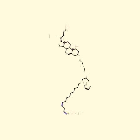 CCCCC/C=C\C/C=C\CCCCCCCCOCC(CN1CC=CC1)OCCOCCO[C@H]1CC[C@@]2(C)C(=CCC3C2CC[C@@]2(C)C3CC[C@@H]2[C@H](C)CCCC(C)C)C1